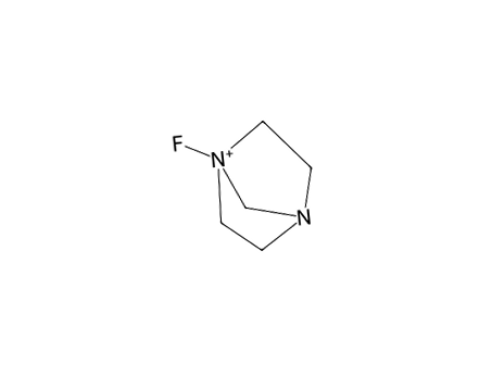 F[N+]12CCN(CC1)C2